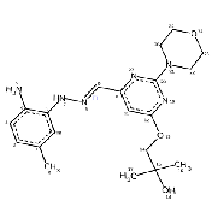 Cc1ccc(N)c(N/N=C/c2cc(OCC(C)(C)O)nc(N3CCOCC3)n2)c1